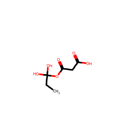 CCC(O)(O)OC(=O)CC(=O)O